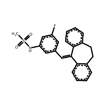 CS(=O)(=O)Nc1cc(F)cc(C=C2c3ccccc3CCc3ccccc32)c1